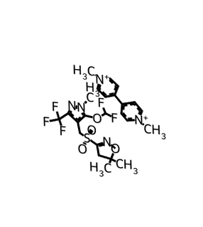 C[n+]1ccc(-c2cc[n+](C)cc2)cc1.Cn1nc(C(F)(F)F)c(CS(=O)(=O)C2=NOC(C)(C)C2)c1OC(F)F